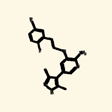 Cc1n[nH]c(C)c1-c1cnc(N)c(OCCc2cc(F)ccc2F)c1